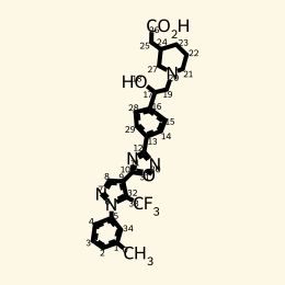 Cc1cccc(-n2ncc(-c3nc(-c4ccc(C(O)CN5CCCC(CC(=O)O)C5)cc4)no3)c2C(F)(F)F)c1